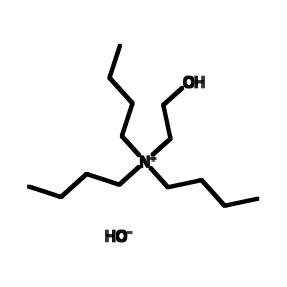 CCCC[N+](CCO)(CCCC)CCCC.[OH-]